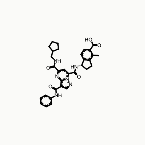 Cc1c(C(=O)O)ccc2c1CC[C@@H]2NC(=O)c1cc(C(=O)NCC2CCCC2)nc2c(C(=O)Nc3ccccc3)cnn12